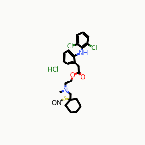 CN(CCOC(=O)Cc1ccccc1Nc1c(Cl)cccc1Cl)CC1(SN=O)CCCCC1.Cl